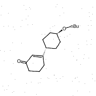 CCCCO[C@H]1CC[C@H](C2=CC(=O)CCC2)CC1